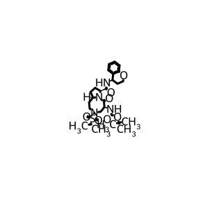 CC(C)S(=O)(=O)N1CC[C@H]2CC[C@@H](C(=O)N[C@@H]3CCOc4ccccc43)N2C(=O)[C@@H](NC(=O)OC(C)(C)C)C1